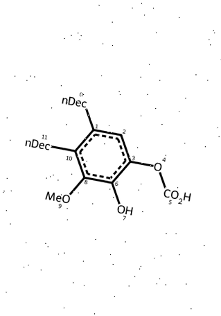 CCCCCCCCCCc1cc(OC(=O)O)c(O)c(OC)c1CCCCCCCCCC